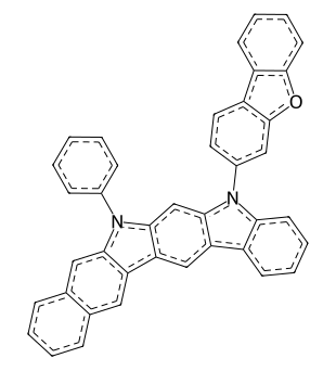 c1ccc(-n2c3cc4ccccc4cc3c3cc4c5ccccc5n(-c5ccc6c(c5)oc5ccccc56)c4cc32)cc1